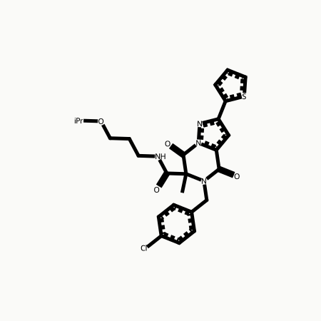 CC(C)OCCCNC(=O)C1(C)C(=O)n2nc(-c3cccs3)cc2C(=O)N1Cc1ccc(Cl)cc1